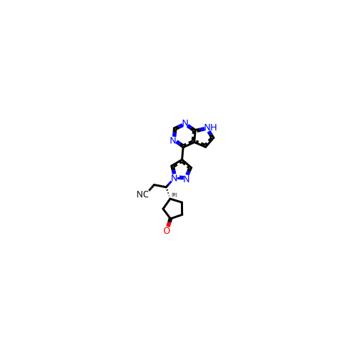 N#CCC([C@@H]1CCC(=O)C1)n1cc(-c2ncnc3[nH]ccc23)cn1